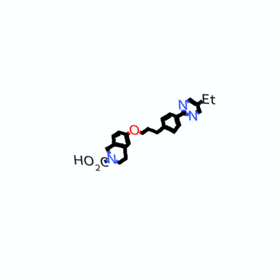 CCc1cnc(-c2ccc(CCCOc3ccc4c(c3)CCN(C(=O)O)C4)cc2)nc1